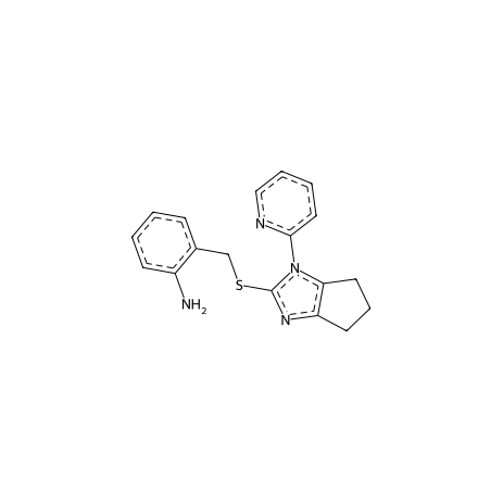 Nc1ccccc1CSc1nc2c(n1-c1ccccn1)CCC2